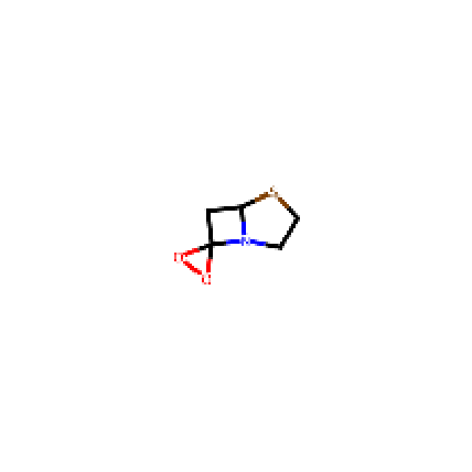 C1CN2C(CC23OO3)S1